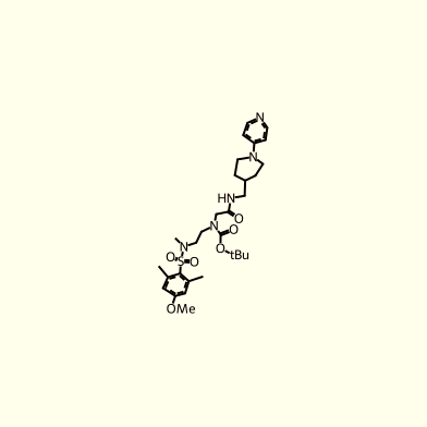 COc1cc(C)c(S(=O)(=O)N(C)CCN(CC(=O)NCC2CCN(c3ccncc3)CC2)C(=O)OC(C)(C)C)c(C)c1